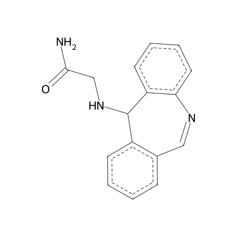 NC(=O)CNC1c2ccccc2C=Nc2ccccc21